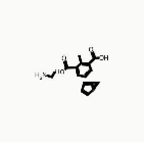 CCN.Cc1c(C(=O)O)cccc1C(=O)O.c1cc2cc-2c1